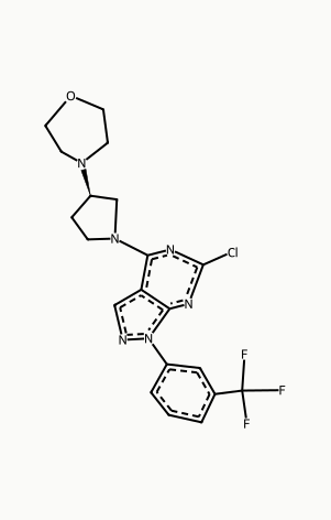 FC(F)(F)c1cccc(-n2ncc3c(N4CC[C@@H](N5CCOCC5)C4)nc(Cl)nc32)c1